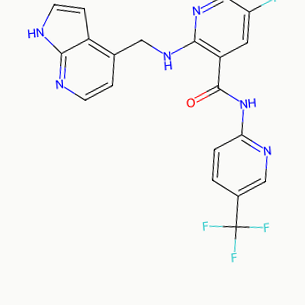 O=C(Nc1ccc(C(F)(F)F)cn1)c1cc(F)cnc1NCc1ccnc2[nH]ccc12